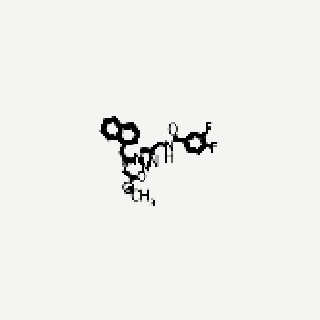 COC(=O)C[C@@H](Cc1cccc2ccccc12)n1cc(CNC(=O)c2ccc(F)c(F)c2)nn1